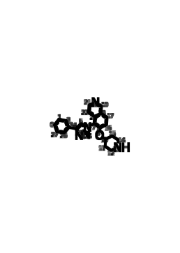 c1ccc(-c2cn(-c3c(OC4CCNCC4)ccc4cnccc34)nn2)cc1